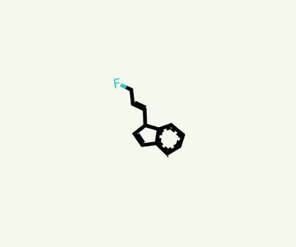 FCC=CC1C=Cc2[c]cccc21